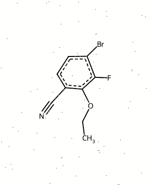 CCOc1c(C#N)ccc(Br)c1F